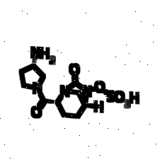 N[C@H]1CCN(C(=O)[C@H]2CC[C@@H]3CN2C(=O)N3OS(=O)(=O)O)C1